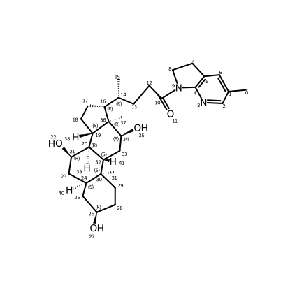 Cc1cnc2c(c1)CCN2C(=O)CC[C@@H](C)[C@H]1CC[C@H]2[C@@H]3[C@H](O)C[C@@H]4C[C@H](O)CC[C@]4(C)[C@H]3C[C@H](O)[C@]12C